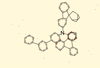 c1ccc(-c2cccc(-c3ccc(N(c4ccc5c(c4)C4(CC6CCC4C6)c4ccccc4-5)c4ccccc4-c4ccccc4-c4ccccc4-c4ccccc4)cc3)c2)cc1